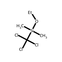 CCO[Si](C)(C)C(Cl)(Cl)Cl